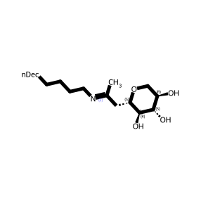 CCCCCCCCCCCCCC/N=C(\C)C[C@@H]1OC[C@@H](O)[C@H](O)[C@H]1O